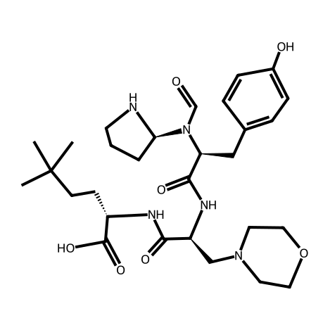 CC(C)(C)CC[C@H](NC(=O)[C@H](CN1CCOCC1)NC(=O)[C@H](Cc1ccc(O)cc1)N(C=O)[C@H]1CCCN1)C(=O)O